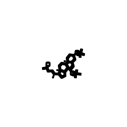 CC(=O)CC[C@@H](C)C1CCC2C3C(O[Si](C)(C)C)=CC4C[C@H](O[Si](C)(C)C)CC[C@]4(C)C3CC[C@@]21C